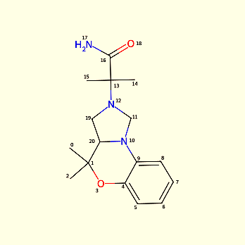 CC1(C)Oc2ccccc2N2CN(C(C)(C)C(N)=O)CC21